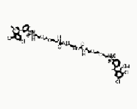 CNCc1c(Cl)cc(Cl)cc1[C@@H](C)c1cccc(S(=O)(=O)NCCOCCOCCNC(=O)NCCCCNC(=O)NCCOCCOCCNS(=O)(=O)c2cccc([C@@H]3CN(C)Cc4c(Cl)cc(Cl)cc43)c2)c1